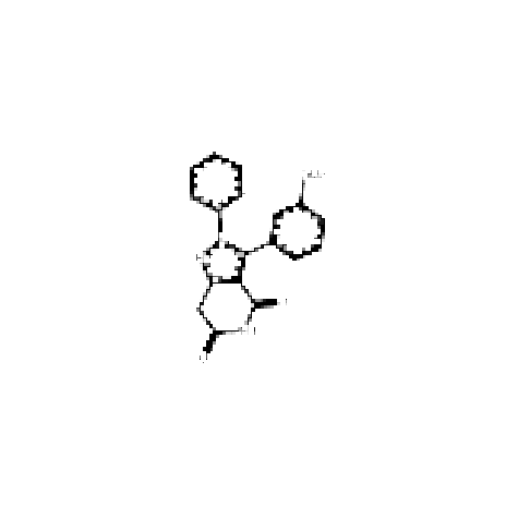 COc1cccc(-c2c3c(nn2-c2ccccc2)CC(=O)NC3=O)c1